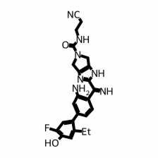 CCc1cc(O)c(F)cc1-c1ccc(C(=N)c2nc3c([nH]2)CN(C(=O)NCCC#N)C3)c(N)c1